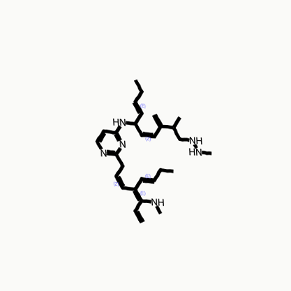 C=C/C(NC)=C(\C=C/Cc1nccc(NC(/C=C\C(=C)C(C)CNNC)/C=C/CC)n1)/C=C/CC